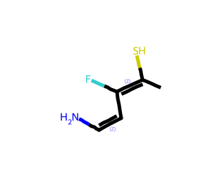 C/C(S)=C(F)\C=C/N